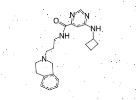 O=C(NCCCN1CCc2ccccc2C1)c1cc(NC2CCC2)ncn1